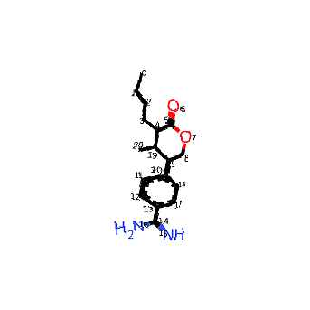 CCCCC1C(=O)OCC(c2ccc(C(=N)N)cc2)C1C